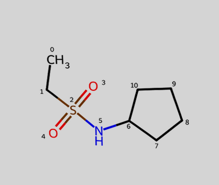 CCS(=O)(=O)NC1CCCC1